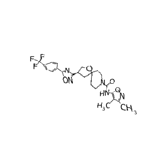 Cc1noc(NC(=O)N2CCC3(CC2)C[C@@H](c2noc(-c4ccc(C(F)(F)F)cc4)n2)CO3)c1C